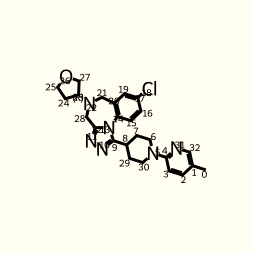 Cc1ccc(N2CCC(c3nnc4n3-c3ccc(Cl)cc3CN([C@@H]3CCOC3)C4)CC2)nc1